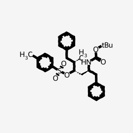 Cc1ccc(S(=O)(=O)O[C@@H](C[C@H](Cc2ccccc2)NC(=O)OC(C)(C)C)[C@@H](C)Cc2ccccc2)cc1